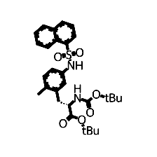 Cc1ccc(NS(=O)(=O)c2cccc3ccccc23)cc1C[C@H](NC(=O)OC(C)(C)C)C(=O)OC(C)(C)C